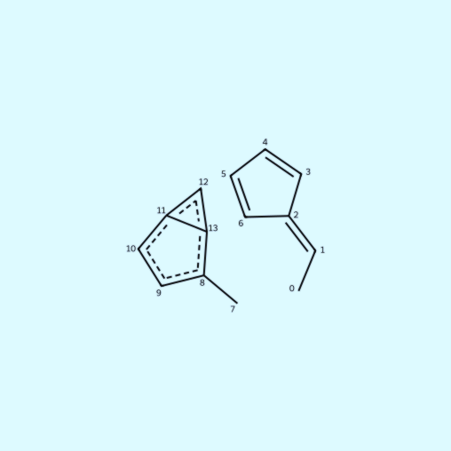 CC=C1C=CC=C1.Cc1ccc2cc1-2